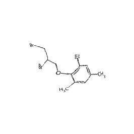 CCc1cc(C)cc(C)c1OCC(Br)CBr